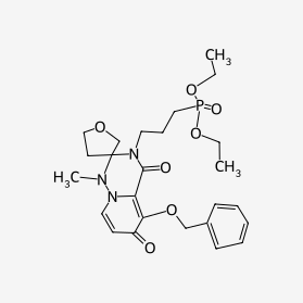 CCOP(=O)(CCCN1C(=O)c2c(OCc3ccccc3)c(=O)ccn2N(C)C12CCOC2)OCC